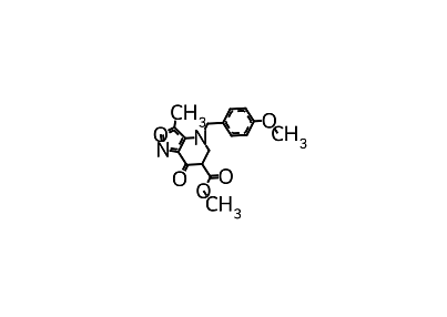 COC(=O)C1CN(Cc2ccc(OC)cc2)c2c(noc2C)C1=O